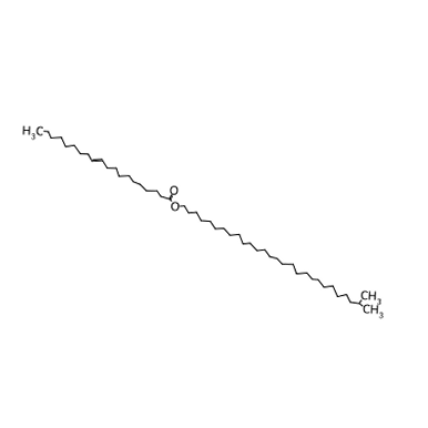 CCCCCCCCC=CCCCCCCCCCC(=O)OCCCCCCCCCCCCCCCCCCCCCCCCCCC(C)C